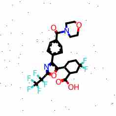 O=C(O)C1CC(F)(F)CCC1c1oc(C(F)(F)C(F)(F)F)nc1-c1ccc(C(=O)N2CCOCC2)cc1